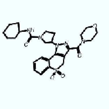 O=C(NC1CCCCC1)N1CCC(n2nc(C(=O)N3CCOCC3)c3c2-c2ccccc2S(=O)(=O)C3)C1